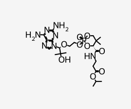 CC(C)OC(=O)CCNC(=O)[C@@H]1OP(=O)(OCCO[C@@H](n2cnc3c(N)nc(N)nc32)C(C)(C)O)OCC1(C)C